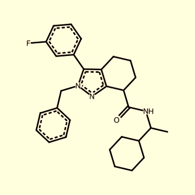 CC(NC(=O)C1CCCc2c1nn(Cc1ccccc1)c2-c1cccc(F)c1)C1CCCCC1